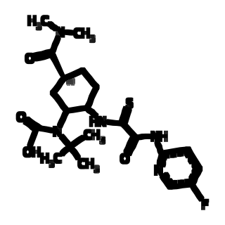 CN(C)C(=O)[C@H]1CCC(NC(=S)C(=O)Nc2ccc(F)cn2)C(N(C(=O)O)C(C)(C)C)C1